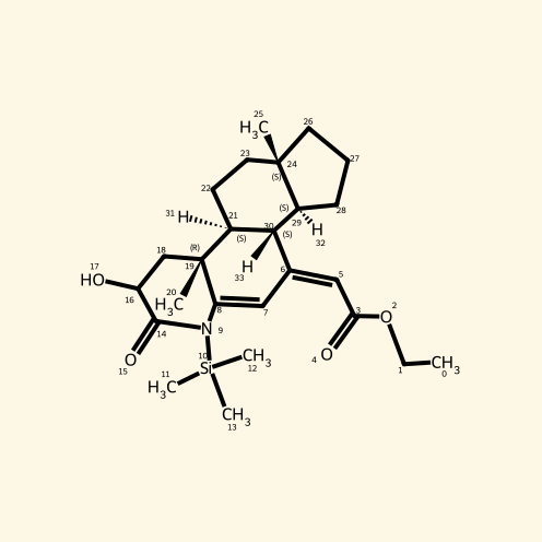 CCOC(=O)C=C1C=C2N([Si](C)(C)C)C(=O)C(O)C[C@]2(C)[C@H]2CC[C@]3(C)CCC[C@H]3[C@H]12